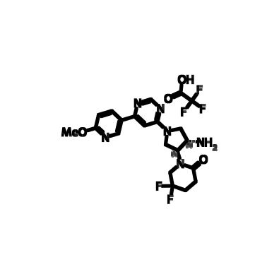 COc1ccc(-c2cc(N3C[C@H](N)[C@@H](N4CC(F)(F)CCC4=O)C3)ncn2)cn1.O=C(O)C(F)(F)F